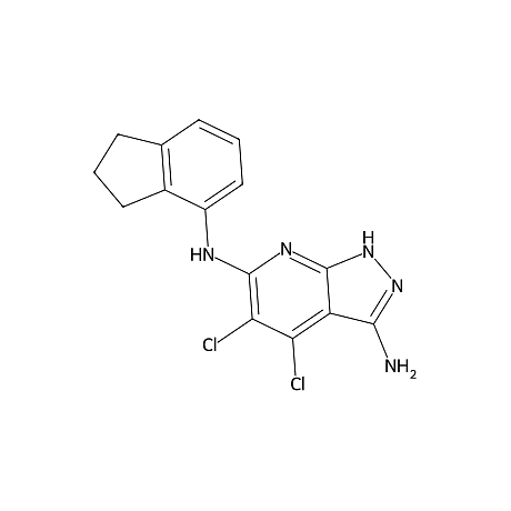 Nc1n[nH]c2nc(Nc3cccc4c3CCC4)c(Cl)c(Cl)c12